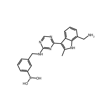 Cc1[nH]c2c(CN)cccc2c1-c1ncnc(NCc2cccc(B(O)O)c2)n1